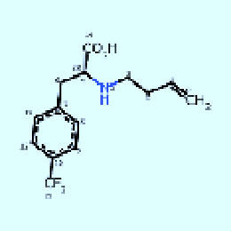 C=CCCN[C@@H](Cc1ccc(C(F)(F)F)cc1)C(=O)O